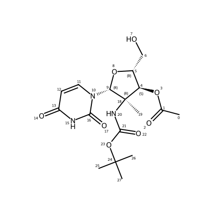 CC(=O)O[C@@H]1[C@@H](CO)O[C@@H](n2ccc(=O)[nH]c2=O)[C@]1(C)NC(=O)OC(C)(C)C